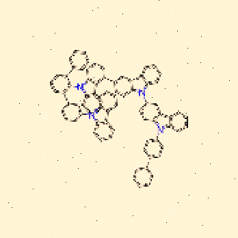 c1ccc(-c2ccc(-n3c4ccccc4c4cc(-n5c6ccccc6c6cc(-c7cccc8c7c7ccccc7n8-c7c(-c8ccccc8)cccc7-c7cccc(-n8c9ccccc9c9ccccc98)c7)ccc65)ccc43)cc2)cc1